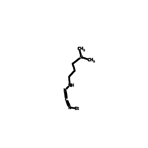 CCN=C=NNCCCN(C)C